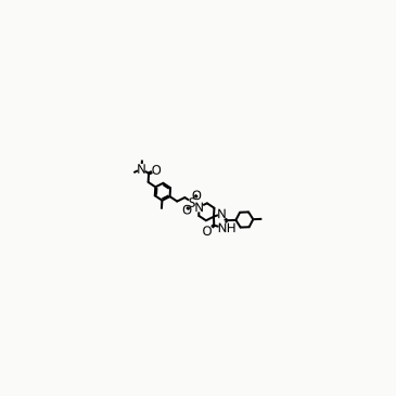 Cc1cc(CC(=O)N(C)C)ccc1CCS(=O)(=O)N1CCC2(CC1)N=C(C1CCC(C)CC1)NC2=O